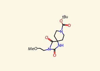 COCCN1C(=O)NC2(CCN(C(=O)OC(C)(C)C)CC2)C1=O